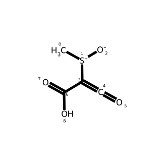 C[S+]([O-])C(=C=O)C(=O)O